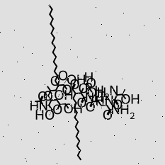 CCCCCCCCCCCCCCCC(=O)OC(CC(C)O[C@H]1[C@H](O)[C@@H](CO)O[C@H](O)[C@@H]1NC(C)=O)[C@H](CO)OC(=O)C(CCCCCCCCCCCCCC)C(O[PH](=O)O)C(=O)NC(=O)CC[C@@H](NC(=O)[C@@H](N)[C@@H](C)O)C(N)=O